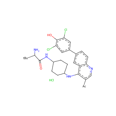 CC(=O)c1cnc2ccc(-c3cc(Cl)c(O)c(Cl)c3)cc2c1NC1CCC(NC(=O)C(N)C(C)(C)C)CC1.Cl